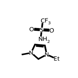 CCN1C=CN(C)C1.NS(=O)(=O)C(F)(F)F